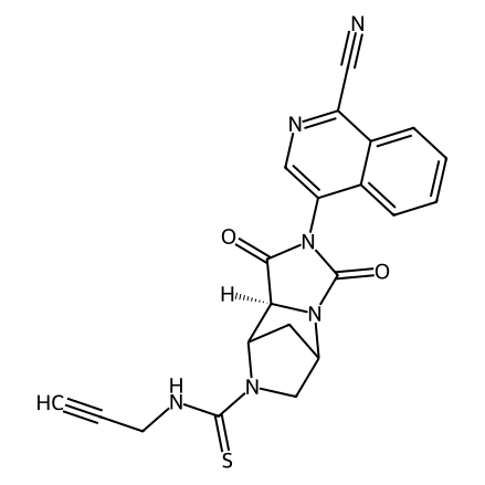 C#CCNC(=S)N1CC2CC1[C@H]1C(=O)N(c3cnc(C#N)c4ccccc34)C(=O)N21